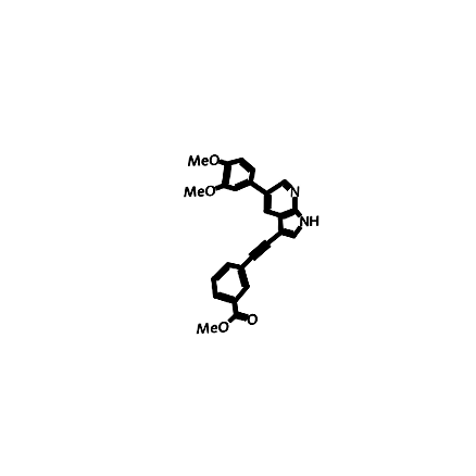 COC(=O)c1cccc(C#Cc2c[nH]c3ncc(-c4ccc(OC)c(OC)c4)cc23)c1